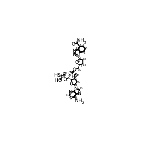 NC(=O)c1cccc2c1nnn2[C@H]1CC[C@@H](CO[PH](=O)O[C@H]2C[C@H](n3cnc4c(N)ncnc43)O[C@@H]2COP(=O)(O)S)O1